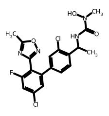 Cc1nc(-c2c(F)cc(Cl)cc2-c2ccc(C(C)NC(=O)N(C)O)c(Cl)c2)no1